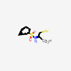 O=C(O)C(CS)NS(=O)(=O)c1ccccc1